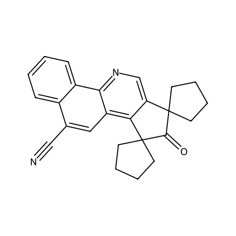 N#Cc1cc2c3c(cnc2c2ccccc12)C1(CCCC1)C(=O)C31CCCC1